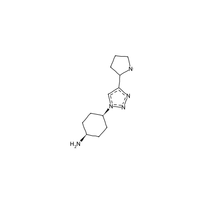 N[C@H]1CC[C@@H](n2cc(C3CCC[N]3)nn2)CC1